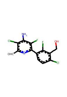 Nc1c(F)c(-c2ccc(Cl)c(CO)c2F)nc(C=O)c1Cl